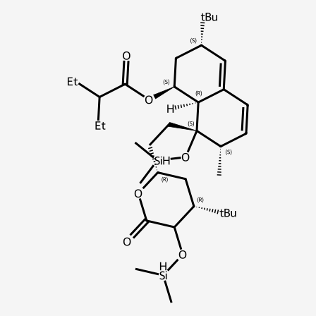 CCC(CC)C(=O)O[C@H]1C[C@H](C(C)(C)C)C=C2C=C[C@H](C)[C@](CC[C@@H]3C[C@H](C(C)(C)C)C(O[SiH](C)C)C(=O)O3)(O[SiH](C)C)[C@H]21